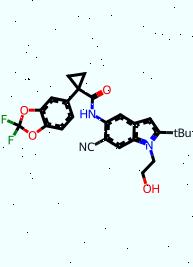 CC(C)(C)c1cc2cc(NC(=O)C3(c4ccc5c(c4)OC(F)(F)O5)CC3)c(C#N)cc2n1CCO